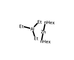 CCCCC[CH2][Zn][CH2]CCCCC.C[CH2][Al]([CH2]C)[CH2]C